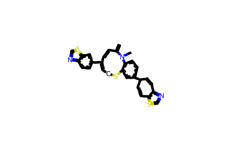 C=C1/C=C\C(c2ccc3ncsc3c2)=C/CSc2cc(C3C=Cc4ncsc4C=C3)ccc2N1C